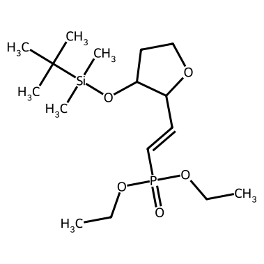 CCOP(=O)(/C=C/C1OCCC1O[Si](C)(C)C(C)(C)C)OCC